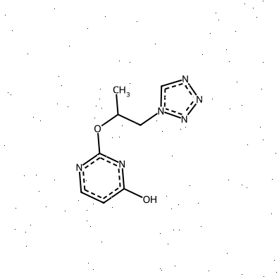 CC(Cn1cnnn1)Oc1nccc(O)n1